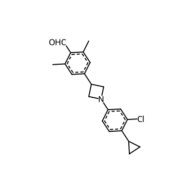 Cc1cc(C2CN(c3ccc(C4CC4)c(Cl)c3)C2)cc(C)c1C=O